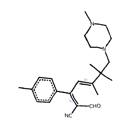 C/C(=C\C(=C(\C#N)C=O)c1ccc(C)cc1)C(C)(C)CN1CCN(C)CC1